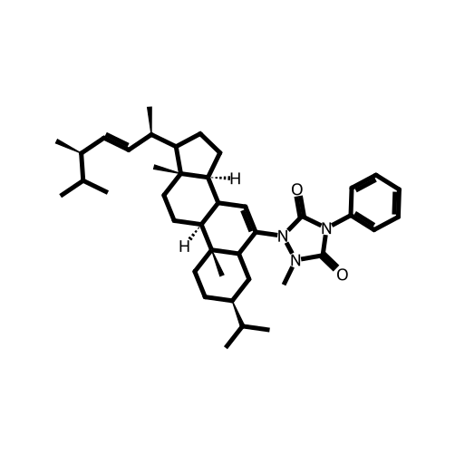 CC(C)[C@H]1CC[C@@]2(C)C(C1)C(n1c(=O)n(-c3ccccc3)c(=O)n1C)=CC1[C@@H]2CC[C@]2(C)C([C@H](C)/C=C/[C@H](C)C(C)C)CC[C@@H]12